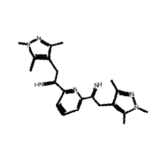 Cc1nn(C)c(C)c1CC(=N)c1cccc(C(=N)Cc2c(C)nn(C)c2C)n1